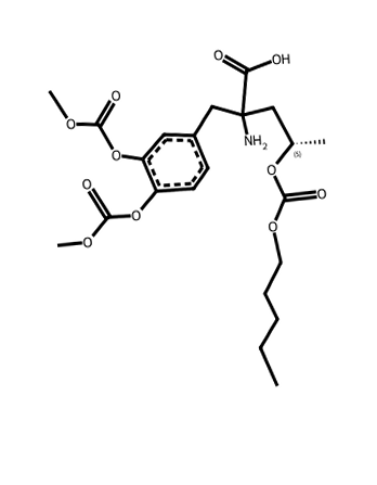 CCCCCOC(=O)O[C@@H](C)CC(N)(Cc1ccc(OC(=O)OC)c(OC(=O)OC)c1)C(=O)O